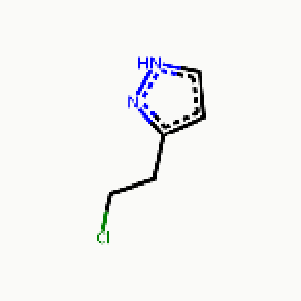 ClCCc1cc[nH]n1